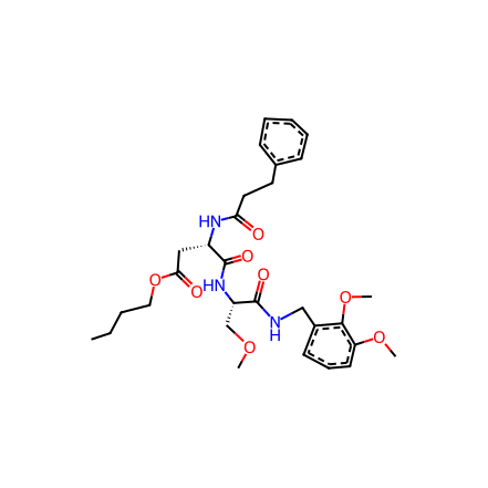 CCCCOC(=O)C[C@H](NC(=O)CCc1ccccc1)C(=O)N[C@@H](COC)C(=O)NCc1cccc(OC)c1OC